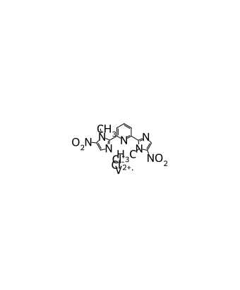 Cn1c([N+](=O)[O-])cnc1-c1cccc(-c2ncc([N+](=O)[O-])n2C)n1.[Cl-].[Cl-].[V+2]